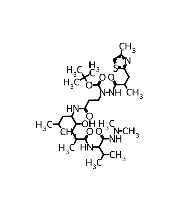 Cc1csc(CC(C)C(=O)NN(CCC(=O)NC(CC(C)C)C(O)CC(C)C(=O)NC(C(=O)NN(C)C)C(C)C)C(=O)OC(C)(C)C)n1